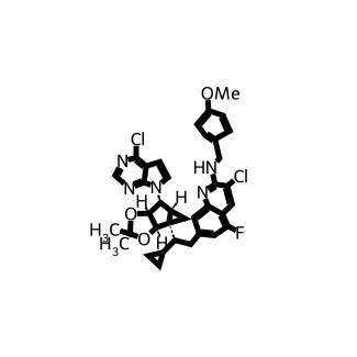 COc1ccc(CNc2nc3cc(CC(C4CC4)[C@@]45C[C@@H]4[C@@H](n4ccc6c(Cl)ncnc64)[C@@H]4OC(C)(C)O[C@@H]45)cc(F)c3cc2Cl)cc1